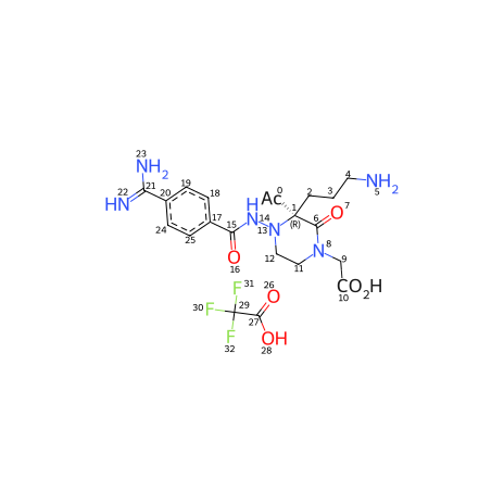 CC(=O)[C@]1(CCCN)C(=O)N(CC(=O)O)CCN1NC(=O)c1ccc(C(=N)N)cc1.O=C(O)C(F)(F)F